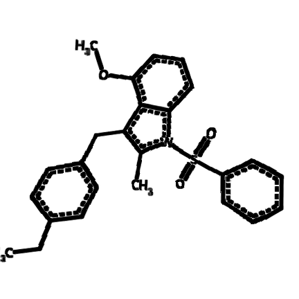 CCc1ccc(Cc2c(C)n(S(=O)(=O)c3ccccc3)c3cccc(OC)c23)cc1